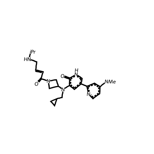 CNc1ccnc(-c2c[nH]c(=O)c(N(CC3CC3)C3CN(C(=O)C=CCNC(C)C)C3)c2)c1